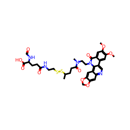 COc1cc2c(=O)n(CCN(C)C(=O)CCC(C)SSCCNC(=O)CCC(NC=O)C(=O)O)c3c4cc5c(cc4ncc3c2cc1OC)OCO5